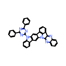 c1ccc(-c2nc(-c3ccccc3)nc(-n3c4ccccc4c4cc5c(cc43)c3cccc4c6nc7ccccc7nc6n5c34)n2)cc1